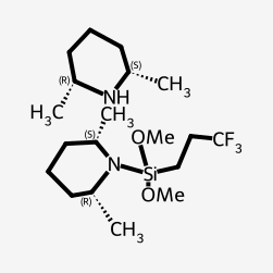 CO[Si](CCC(F)(F)F)(OC)N1[C@H](C)CCC[C@@H]1C.C[C@@H]1CCC[C@H](C)N1